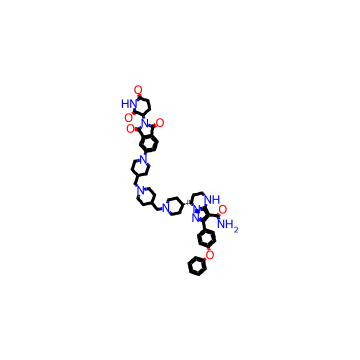 NC(=O)c1c(-c2ccc(Oc3ccccc3)cc2)nn2c1NCC[C@H]2C1CCN(CC2CCN(CC3CCN(c4ccc5c(c4)C(=O)N(C4CCC(=O)NC4=O)C5=O)CC3)CC2)CC1